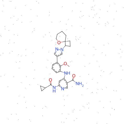 COc1c(Nc2cc(NC(=O)C3CC3)ncc2C(N)=O)cccc1-c1cnn(C2CCC23CCCCO3)c1